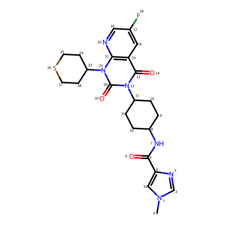 Cn1cnc(C(=O)NC2CCC(n3c(=O)c4cc(F)cnc4n(C4CCSCC4)c3=O)CC2)c1